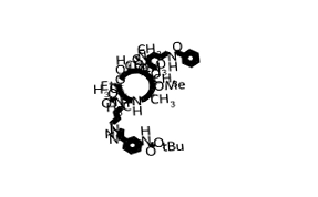 CC[C@H]1OC(=O)[C@H](C)C(=O)[C@H](C)[C@@H](O[C@@H]2OC(CNC(=O)c3ccccc3)CC(N(C)C)C2O)[C@](C)(OC)C[C@@H](C)CN[C@H](C)[C@H]2N(CCCCn3cc(-c4cccc(NC(=O)OC(C)(C)C)c4)nn3)C(=O)O[C@]12C